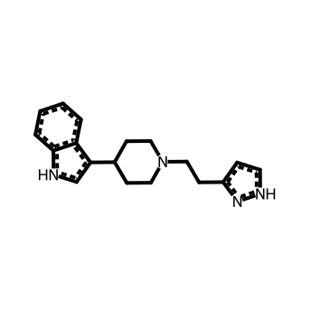 c1ccc2c(C3CCN(CCc4cc[nH]n4)CC3)c[nH]c2c1